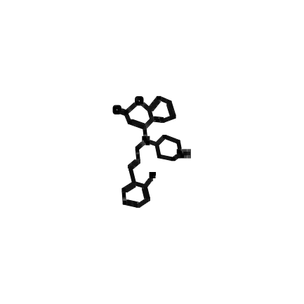 O=c1cc(N(CC=Cc2ccccc2F)C2CCNCC2)c2ccccc2o1